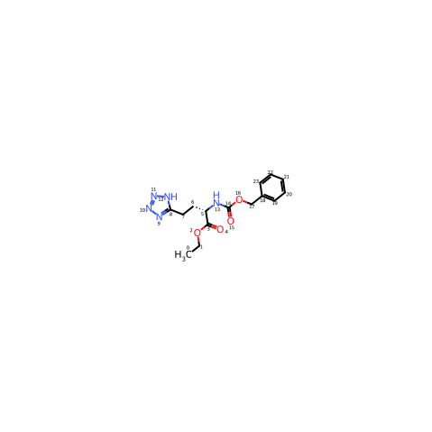 CCOC(=O)[C@H](CCc1nnn[nH]1)NC(=O)OCc1ccccc1